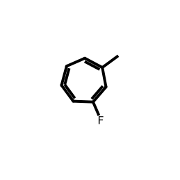 CC1=CC=C=CC(F)=C1